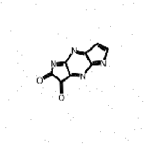 O=c1nc2nc3ccnc3nc2c1=O